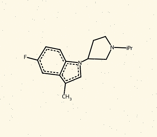 Cc1cn(C2CCN(C(C)C)C2)c2ccc(F)cc12